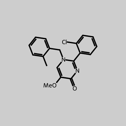 COc1cn(Cc2ccccc2C)c(-c2ccccc2Cl)nc1=O